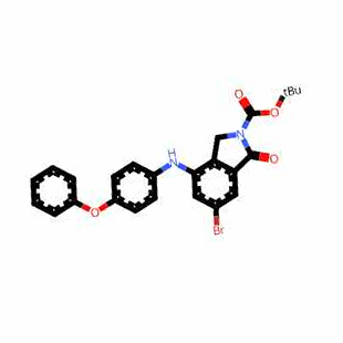 CC(C)(C)OC(=O)N1Cc2c(Nc3ccc(Oc4ccccc4)cc3)cc(Br)cc2C1=O